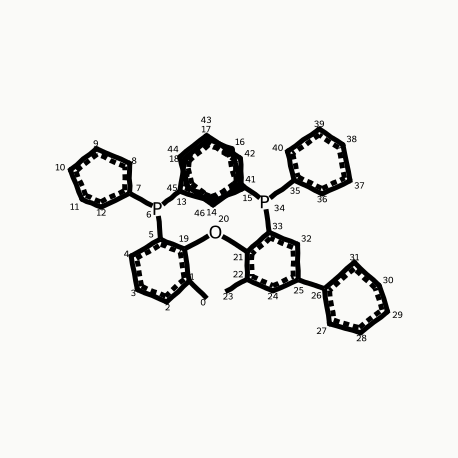 Cc1cccc(P(c2ccccc2)c2ccccc2)c1Oc1c(C)cc(-c2ccccc2)cc1P(c1ccccc1)c1ccccc1